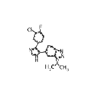 CC(C)n1nnc2ccc(-c3[nH]cnc3-c3ccc(F)c(Cl)c3)cc21